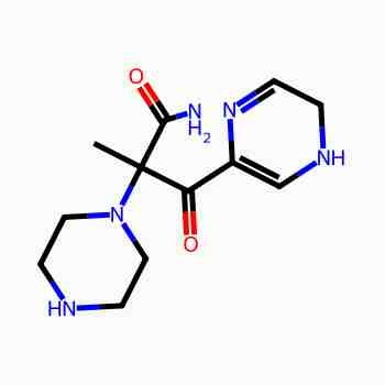 CC(C(N)=O)(C(=O)C1=CNCC=N1)N1CCNCC1